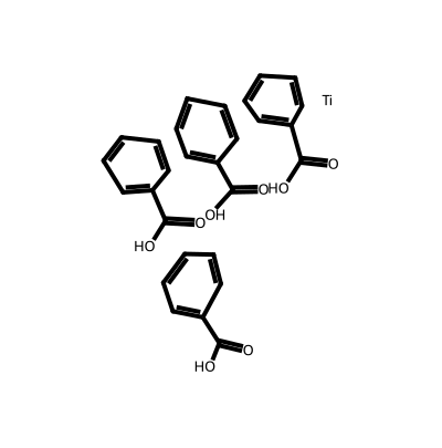 O=C(O)c1ccccc1.O=C(O)c1ccccc1.O=C(O)c1ccccc1.O=C(O)c1ccccc1.[Ti]